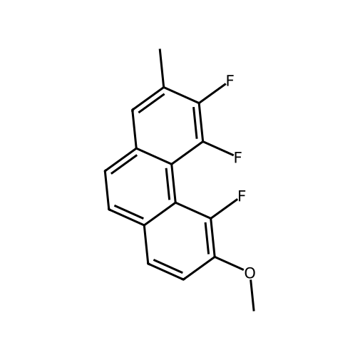 COc1ccc2ccc3cc(C)c(F)c(F)c3c2c1F